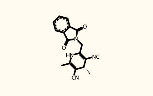 [C-]#[N+]C1=C(CN2C(=O)c3ccccc3C2=O)NC(C)=C(C#N)[C@H]1C